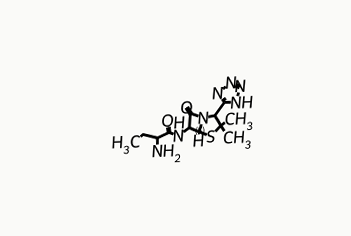 CCC(N)C(=O)NC1C(=O)N2C(c3nnn[nH]3)C(C)(C)S[C@@H]12